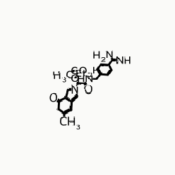 CC(=O)O.CCOC(C(=O)NCc1ccc(C(=N)N)cc1)N1C=C2C=C(C)CC(=O)C2C1